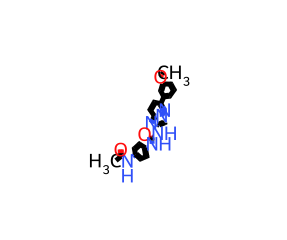 COc1cccc(-c2ccc3nc(NC(=O)Nc4ccc(NC(C)=O)cc4)cn3n2)c1